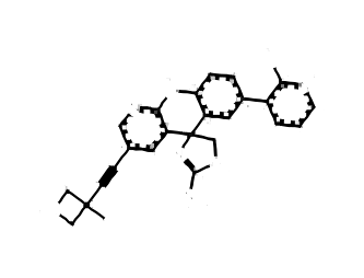 CC1(C#Cc2cnc3c(c2)C2(COC(N)=N2)c2cc(-c4cccnc4F)ccc2O3)COC1